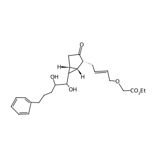 CCOC(=O)COCC=CC[C@H]1C(=O)C[C@H]2C(C(O)C(O)CCCc3ccccc3)[C@@H]12